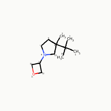 CC(C)(C)C1(C)CCN(C2COC2)C1